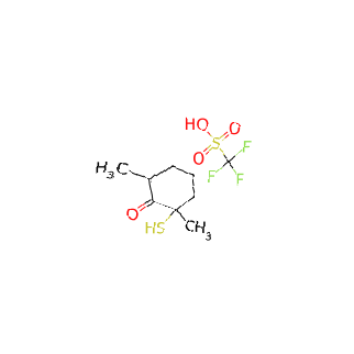 CC1CCCC(C)(S)C1=O.O=S(=O)(O)C(F)(F)F